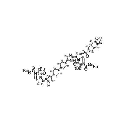 CC(C)(C)OC(=O)NC(C(=O)N1CCC[C@H]1c1nc(-c2ccc(-c3ccc(-c4cnc([C@@H]5C[C@@H](OC(=O)N6Cc7cc8c(cc7C6)OCO8)CN5C(=O)[C@@H](NC(=O)OC(C)(C)C)C(C)(C)C)[nH]4)cc3)cc2)c[nH]1)C(C)(C)C